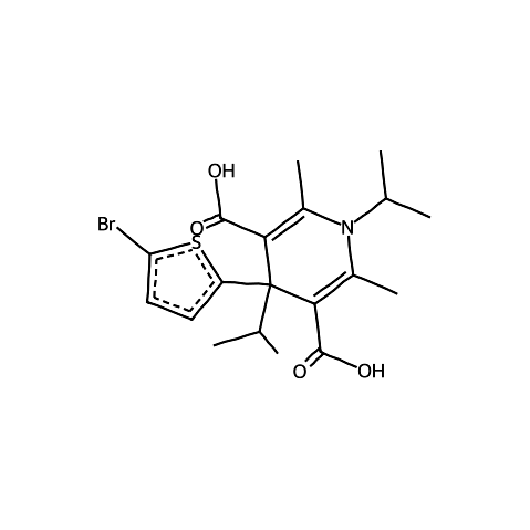 CC1=C(C(=O)O)C(c2ccc(Br)s2)(C(C)C)C(C(=O)O)=C(C)N1C(C)C